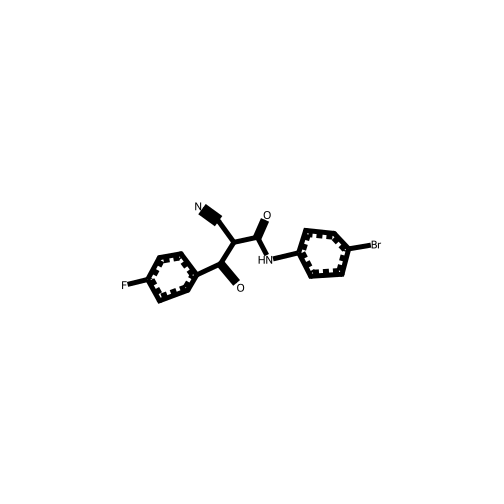 N#CC(C(=O)Nc1ccc(Br)cc1)C(=O)c1ccc(F)cc1